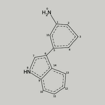 Nc1cccc(-c2c[nH]c3ccccc23)c1